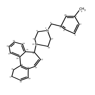 Cc1cccc(CN2CCN(C3C=CC4=C(CCC=C4)c4ccccc43)CC2)c1